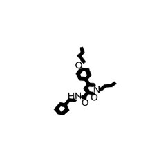 CCCCOc1ccc(-c2cc(C(=O)NCCc3ccccc3)c(=O)n(CCCC)c2)cc1